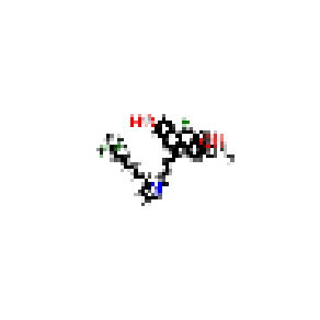 C[C@]12C[C@H](F)C3c4ccc(O)cc4CC(CCCCCN4CCC[C@H]4CCCCCCC(F)(F)C(F)(F)F)[C@H]3C1CC[C@@]2(C)O